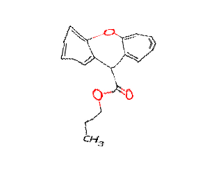 CCCOC(=O)C1c2ccccc2Oc2ccccc21